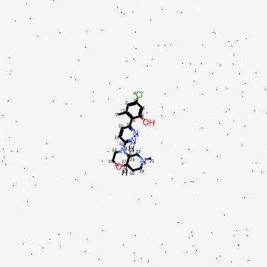 Cc1cc(Cl)cc(O)c1-c1ccc(N2CCO[C@@H]3CCN(C)C[C@@H]32)nn1